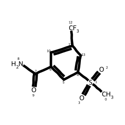 CS(=O)(=O)c1cc(C(N)=O)cc(C(F)(F)F)c1